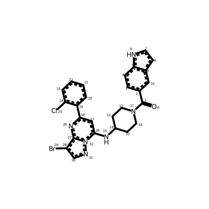 O=C(c1ccc2[nH]ccc2c1)N1CCC(Nc2cc(-c3ccccc3Cl)nc3c(Br)cnn23)CC1